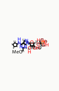 COCc1nc(NC2CCCC2)c2cnn([C@@H]3O[C@H](COC(C)(COC)P(=O)(O)O)[C@@H](O)[C@H]3O)c2n1